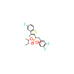 CCC(C)OP(=O)(O)C(Cc1ccc(F)c(F)c1)c1sc2ccc(F)cc2c1C